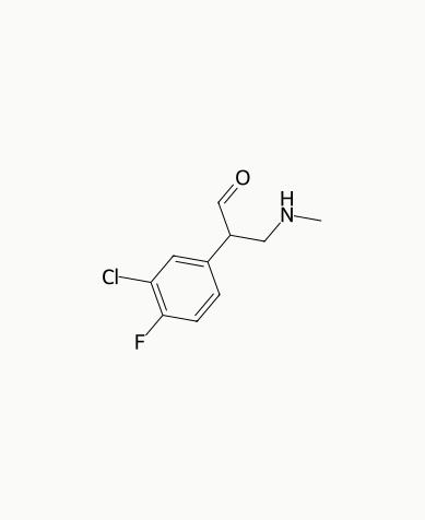 CNCC(C=O)c1ccc(F)c(Cl)c1